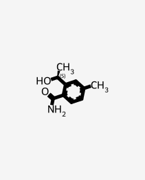 Cc1ccc(C(N)=O)c([C@H](C)O)c1